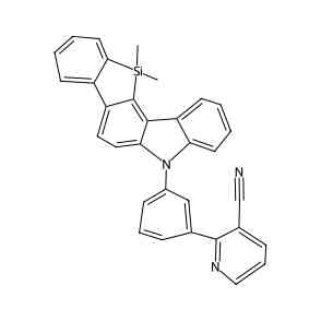 C[Si]1(C)c2ccccc2-c2ccc3c(c21)c1ccccc1n3-c1cccc(-c2ncccc2C#N)c1